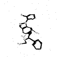 CCOC(C[C@@]1(C)Cc2cnn(-c3ccccc3F)c2C=C1C)c1ccccc1